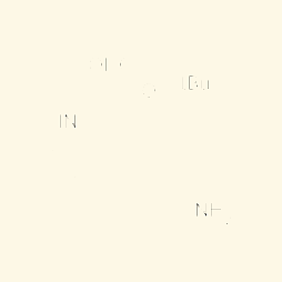 CC(C)(C)OC=O.NCc1ccc2c(c1)CCN2